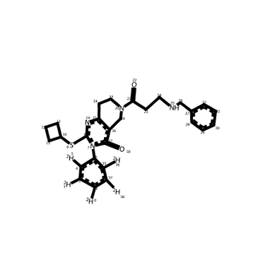 [2H]c1c([2H])c([2H])c(-n2c(SC3CCC3)nc3c(c2=O)CN(C(=O)CCNCc2ccccc2)CC3)c([2H])c1[2H]